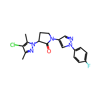 Cc1nn(C2CCN(c3cnn(-c4ccc(F)cc4)c3)C2=O)c(C)c1Cl